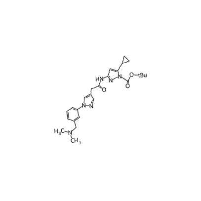 CN(C)Cc1cccc(-n2cc(CC(=O)Nc3cc(C4CC4)n(C(=O)OC(C)(C)C)n3)cn2)c1